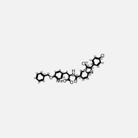 COC(=O)C(Cc1ccc(OCc2ccccc2)cc1)NC(=O)c1ccc2nc(-c3ccc(Cl)cc3)c(Cl)n2c1